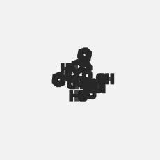 CC(CC1NCCC2(c3ccccc3)CCCC12)Sc1ccccc1.O=C(O)CC(O)(CC(=O)O)C(=O)O